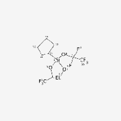 CCO[Si](OCC(F)(F)F)(OC(F)(F)C(F)(F)F)C1CCCC1